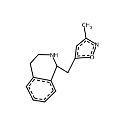 Cc1cc(CC2NCCc3ccccc32)on1